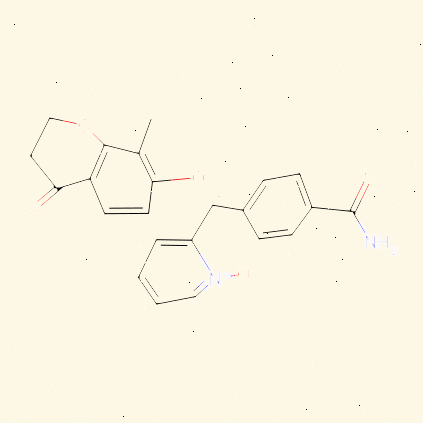 Cc1c(O[C@H](c2ccc(C(N)=O)cc2)c2cccc[n+]2[O-])ccc2c1OCCC2=O